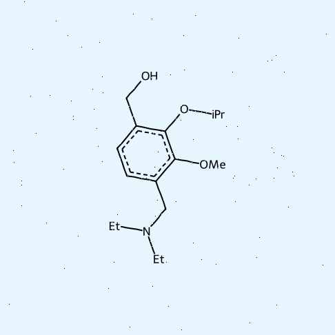 CCN(CC)Cc1ccc(CO)c(OC(C)C)c1OC